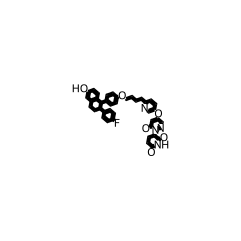 O=C1CCC(n2ncc(Oc3ccc(CCCCOc4ccc(C5c6ccc(O)cc6CCC5c5ccc(F)cc5)cc4)nc3)cc2=O)C(=O)N1